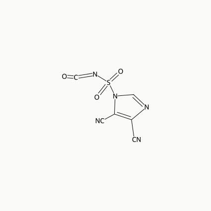 N#Cc1ncn(S(=O)(=O)N=C=O)c1C#N